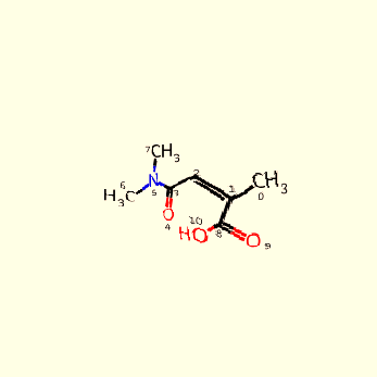 CC(=CC(=O)N(C)C)C(=O)O